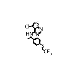 CC(Nc1ncnc2scc(Cl)c12)c1ccc(SCC(F)(F)F)cc1